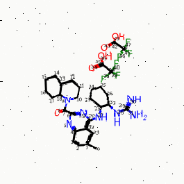 Cc1ccc2nc(C(=O)N3CCCC4CCCCC43)nc(NC3CCCCC3NC(=N)N)c2c1.O=C(O)C(F)(F)F.O=C(O)C(F)(F)F